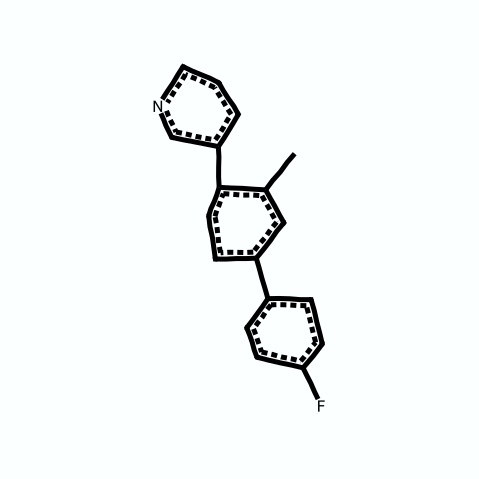 Cc1cc(-c2ccc(F)cc2)ccc1-c1cccnc1